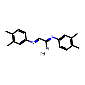 CCC(/C=N/c1ccc(C)c(C)c1)=N\c1ccc(C)c(C)c1.[Pd]